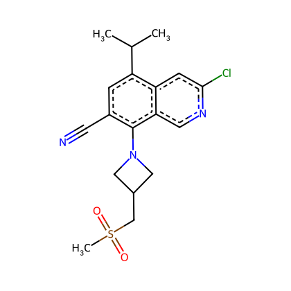 CC(C)c1cc(C#N)c(N2CC(CS(C)(=O)=O)C2)c2cnc(Cl)cc12